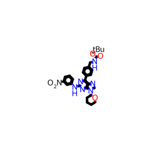 CC(C)(C)OC(=O)NCc1ccc(-c2nc(Nc3cccc([N+](=O)[O-])c3)nc3c2ncn3C2CCCCO2)cc1